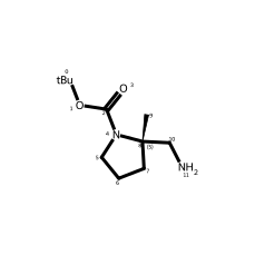 CC(C)(C)OC(=O)N1CCC[C@@]1(C)CN